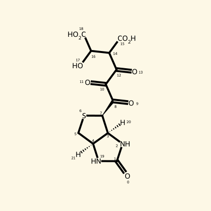 O=C1N[C@H]2[C@H](CS[C@H]2C(=O)C(=O)C(=O)C(C(=O)O)C(O)C(=O)O)N1